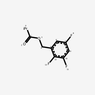 CC(C)C(=O)OCc1cc(F)cc(F)c1F